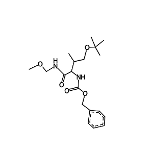 COCNC(=O)C(NC(=O)OCc1ccccc1)C(C)COC(C)(C)C